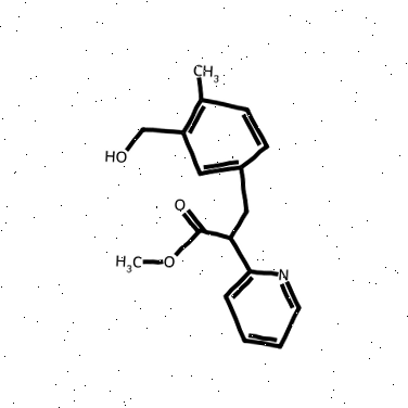 COC(=O)C(Cc1ccc(C)c(CO)c1)c1ccccn1